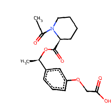 CC(=O)N1CCCC[C@H]1C(=O)O[C@H](C)c1cccc(OCC(=O)O)c1